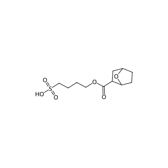 O=C(OCCCCS(=O)(=O)O)C1CC2CCC1O2